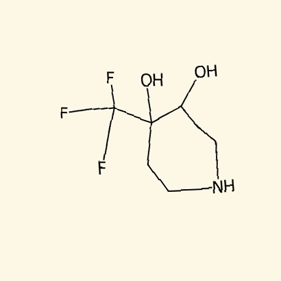 OC1CNCCC1(O)C(F)(F)F